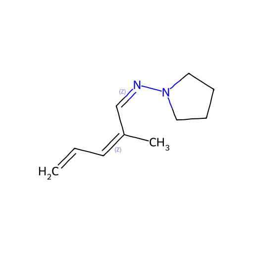 C=C/C=C(C)\C=N/N1CCCC1